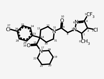 CC1C(Cl)C(C(F)(F)F)=NN1CC(=O)N1CCC(C(=O)N2CCCCC2)(c2ccc(Cl)cc2)CC1